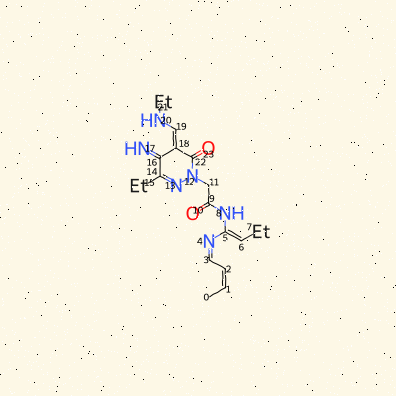 C\C=C/C=N\C(=C\CC)NC(=O)CN1N=C(CC)C(=N)/C(=C\NCC)C1=O